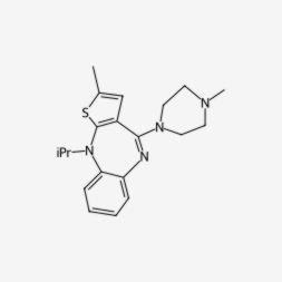 Cc1cc2c(s1)N(C(C)C)c1ccccc1N=C2N1CCN(C)CC1